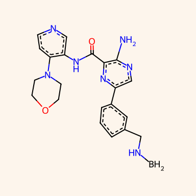 BNCc1cccc(-c2cnc(N)c(C(=O)Nc3cnccc3N3CCOCC3)n2)c1